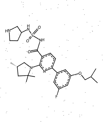 CC(C)COc1cc(F)cc(-c2ccc(C(=O)NS(=O)(=O)NC3CCNC3)c(N3C[C@@H](C)CC3(C)C)n2)c1